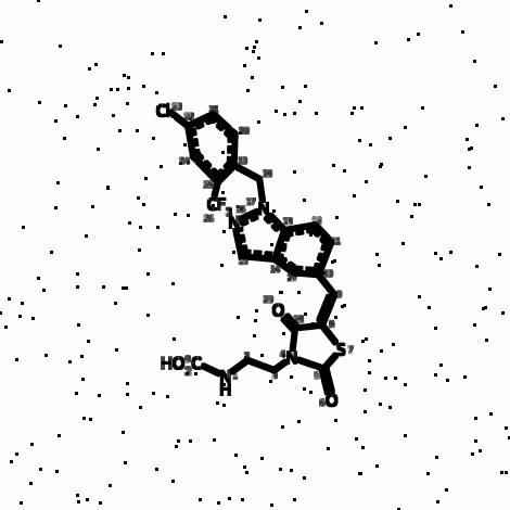 O=C(O)NCCN1C(=O)SC(=Cc2ccc3c(cnn3Cc3ccc(Cl)cc3C(F)(F)F)c2)C1=O